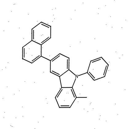 Cc1cccc2c3cc(-c4cccc5ccccc45)ccc3n(-c3ccccc3)c12